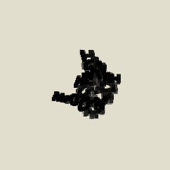 COc1cc(Nc2nc(Nc3ccc(CN4CCCCC4)cc3)ncc2C)ccc1Cl